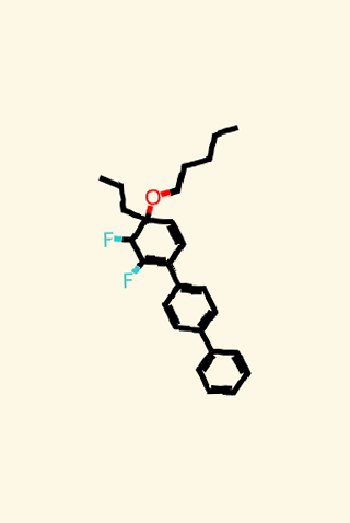 CCCCCOC1(CCC)C=CC(c2ccc(-c3ccccc3)cc2)=C(F)C1F